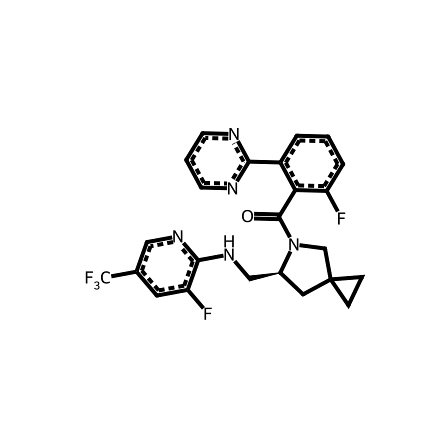 O=C(c1c(F)cccc1-c1ncccn1)N1CC2(CC2)C[C@H]1CNc1ncc(C(F)(F)F)cc1F